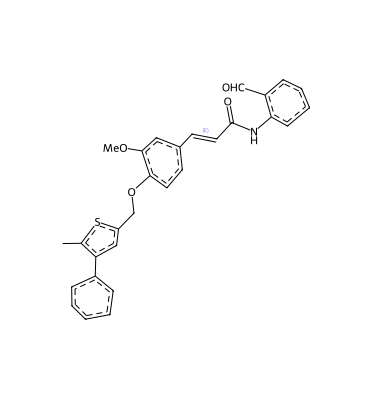 COc1cc(/C=C/C(=O)Nc2ccccc2C=O)ccc1OCc1cc(-c2ccccc2)c(C)s1